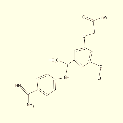 CCCC(=O)COc1cc(OCC)cc(C(Nc2ccc(C(=N)N)cc2)C(=O)O)c1